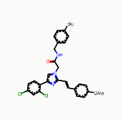 COc1ccc(/C=C/c2nc(-c3ccc(Cl)cc3Cl)cn2CC(=O)NCc2ccc(C(C)(C)C)cc2)cc1